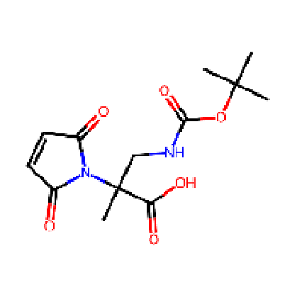 CC(C)(C)OC(=O)NCC(C)(C(=O)O)N1C(=O)C=CC1=O